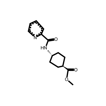 COC(=O)[C@H]1CC[C@H](NC(=O)c2ccccn2)CC1